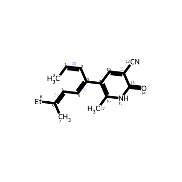 C\C=C/C(=C\C=C(/C)CC)c1cc(C#N)c(=O)[nH]c1C